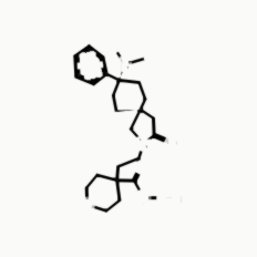 CN(C)[C@]1(c2ccccc2)CC[C@@]2(CC1)CC(=O)N(CCC1(C(=O)OC(C)(C)C)CCOCC1)C2